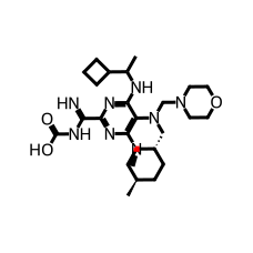 C=Nc1nc(C(=N)NC(=O)O)nc(NC(C)C2CCC2)c1N(CN1CCOCC1)C[C@H]1CC[C@H](C)CC1